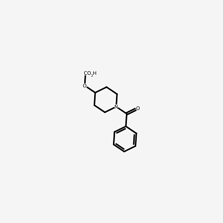 O=C(O)OC1CCN(C(=O)c2ccccc2)CC1